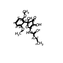 CCOC(=O)NC1=C(O)C(=O)C(C)(c2c(OC)cccc2OC)O1